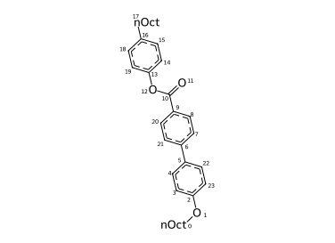 CCCCCCCCOc1ccc(-c2ccc(C(=O)Oc3ccc(CCCCCCCC)cc3)cc2)cc1